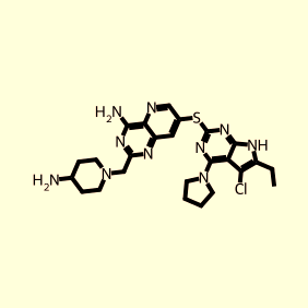 CCc1[nH]c2nc(Sc3cnc4c(N)nc(CN5CCC(N)CC5)nc4c3)nc(N3CCCC3)c2c1Cl